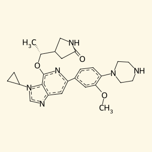 COc1cc(-c2cc3ncn(C4CC4)c3c(O[C@H](C)C3CNC(=O)C3)n2)ccc1N1CCNCC1